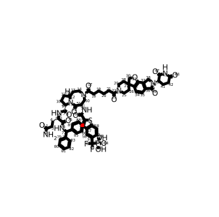 NC(=O)CC[C@H](NC(=O)[C@@H]1CC[C@@H]2CCN(C(=O)CCCCC(=O)N3CCC4(CC3)COc3c4ccc4c3CN([C@H]3CCC(=O)NC3=O)C4=O)C[C@H](NC(=O)c3cc4cc(C(F)(F)P(=O)(O)O)ccc4s3)C(=O)N21)C(=O)NC(c1ccccc1)c1ccccc1